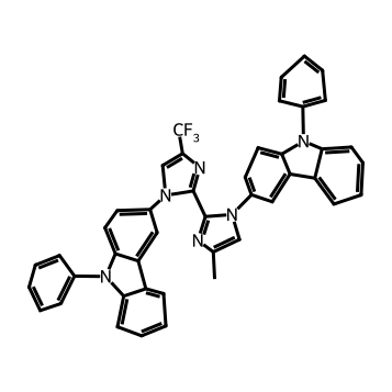 Cc1cn(-c2ccc3c(c2)c2ccccc2n3-c2ccccc2)c(-c2nc(C(F)(F)F)cn2-c2ccc3c(c2)c2ccccc2n3-c2ccccc2)n1